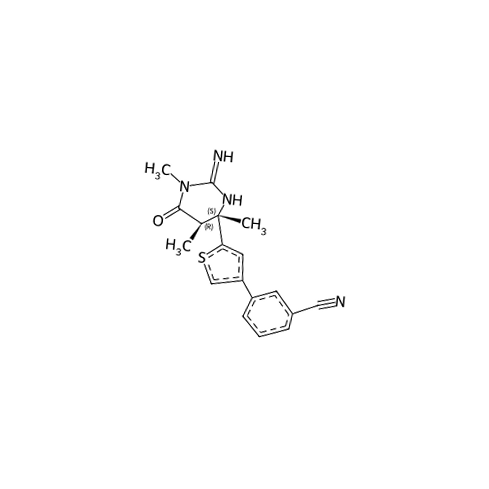 C[C@H]1C(=O)N(C)C(=N)N[C@]1(C)c1cc(-c2cccc(C#N)c2)cs1